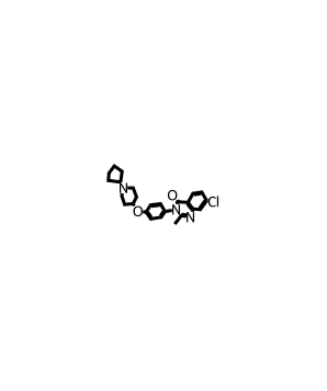 Cc1nc2cc(Cl)ccc2c(=O)n1-c1ccc(OC2CCN(C3CCCC3)CC2)cc1